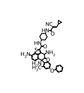 Cc1cc(Oc2ccccc2)ccc1C1(N)C(=O)C(N)c2c(C(=O)NC3CCC(NC(=O)/C(C#N)=C/C4CC4)CC3)sc3c(N)ccc1c23